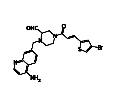 Nc1ccnc2cc(CN3CCN(C(=O)C=Cc4cc(Br)cs4)CC3C=O)ccc12